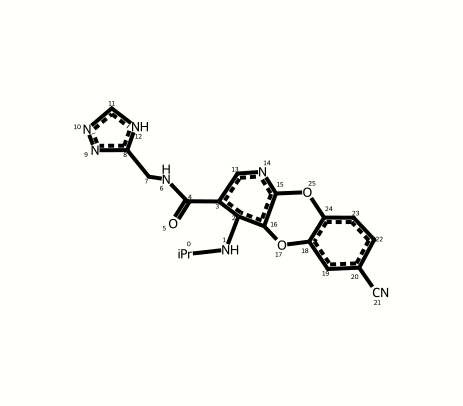 CC(C)Nc1c(C(=O)NCc2nnc[nH]2)cnc2c1Oc1cc(C#N)ccc1O2